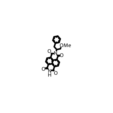 COCC(Cc1ccccc1)N1C(=O)c2ccc3c4c(ccc(c24)C1=O)C(=O)NC3=O